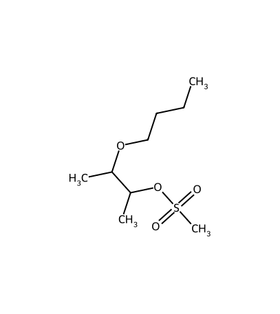 CCCCOC(C)C(C)OS(C)(=O)=O